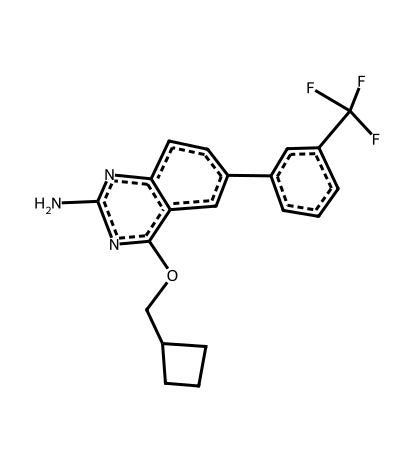 Nc1nc(OCC2CCC2)c2cc(-c3cccc(C(F)(F)F)c3)ccc2n1